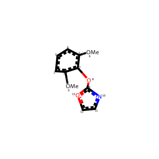 COc1cccc(OC)c1Oc1nc[c]o1